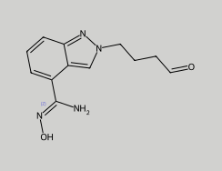 N/C(=N\O)c1cccc2nn(CCCC=O)cc12